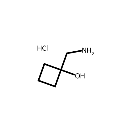 Cl.NCC1(O)CCC1